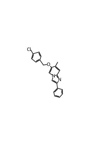 Cc1cc2nc(-c3ccccc3)cn2cc1OCc1ccc(Cl)cc1